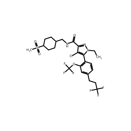 CCn1nc(C(=O)NCC2CCC(S(C)(=O)=O)CC2)c(Cl)c1-c1ccc(CCC(F)(F)F)cc1OC(F)(F)F